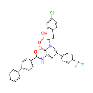 O=C(Nc1cc(-c2ccc(C(F)(F)F)cc2)cn(C(Cc2ccc(Cl)cc2)C(=O)O)c1=O)c1ccc(-c2ccccc2)cc1